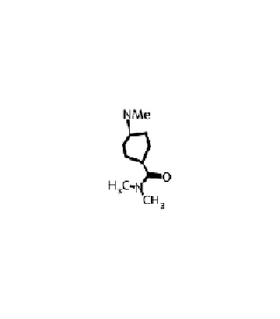 CN[C@H]1CC[C@@H](C(=O)N(C)C)CC1